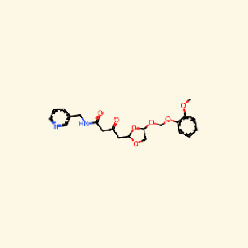 COc1ccccc1OCOC1COC(CC(=O)CC(=O)NCc2cccnc2)O1